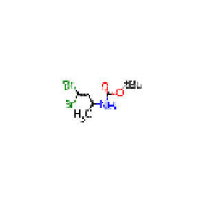 CC(C=C(Br)Br)NC(=O)OC(C)(C)C